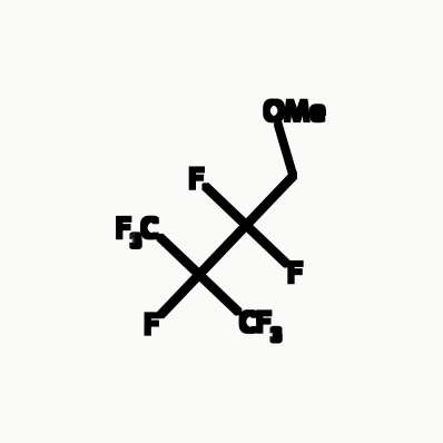 COCC(F)(F)C(F)(C(F)(F)F)C(F)(F)F